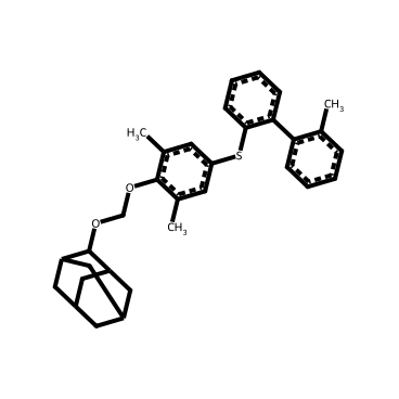 Cc1ccccc1-c1ccccc1Sc1cc(C)c(OCOC2C3CC4CC(C3)CC2C4)c(C)c1